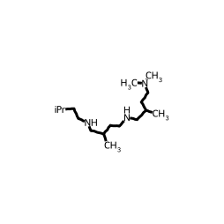 CC(C)CCNCC(C)CCNCC(C)CCN(C)C